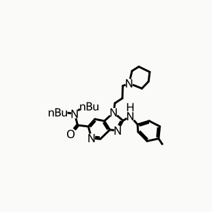 CCCCN(CCCC)C(=O)c1cc2c(cn1)nc(Nc1ccc(C)cc1)n2CCCN1CCCCC1